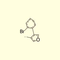 [CH2]c1cocc1-c1ccccc1Br